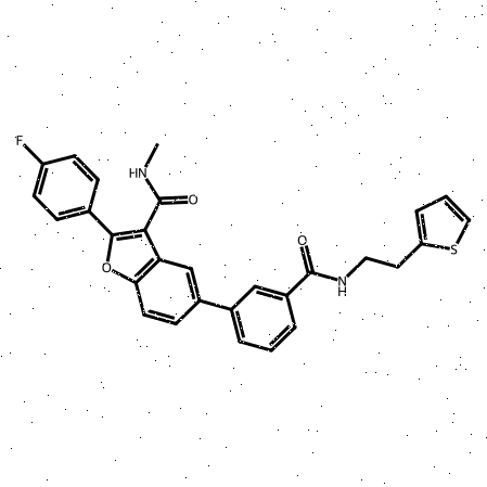 CNC(=O)c1c(-c2ccc(F)cc2)oc2ccc(-c3cccc(C(=O)NCCc4cccs4)c3)cc12